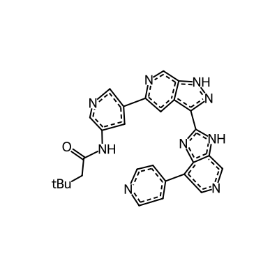 CC(C)(C)CC(=O)Nc1cncc(-c2cc3c(-c4nc5c(-c6ccncc6)cncc5[nH]4)n[nH]c3cn2)c1